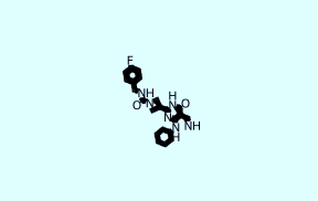 N=Cc1c(NC2CCCCC2)nc(C2CN(C(=O)NCc3ccc(F)cc3)C2)[nH]c1=O